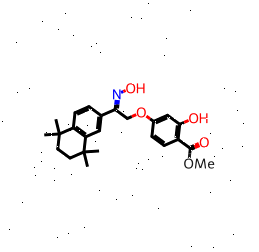 COC(=O)c1ccc(OCC(=NO)c2ccc3c(c2)C(C)(C)CCC3(C)C)cc1O